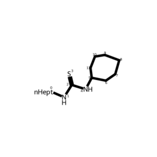 CCCCCCCNC(=S)NC1CCCCCC1